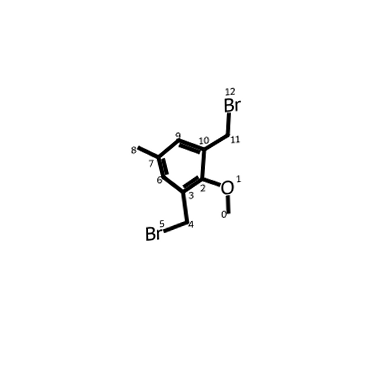 COc1c(CBr)cc(C)cc1CBr